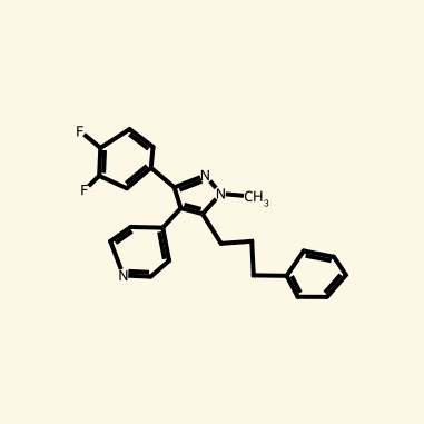 Cn1nc(-c2ccc(F)c(F)c2)c(-c2ccncc2)c1CCCc1ccccc1